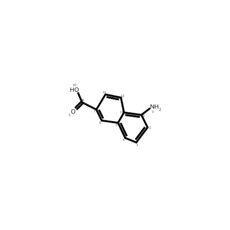 Nc1cccc2cc(C(=O)O)ccc12